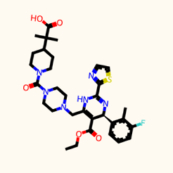 CCOC(=O)C1=C(CN2CCN(C(=O)N3CCC(C(C)(C)C(=O)O)CC3)CC2)NC(c2nccs2)=N[C@H]1c1cccc(F)c1C